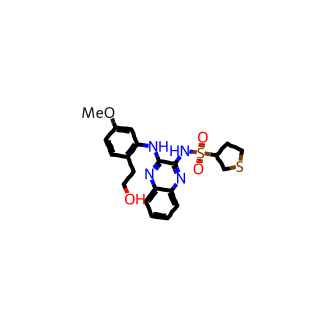 COc1ccc(CCO)c(Nc2nc3ccccc3nc2NS(=O)(=O)C2CCSC2)c1